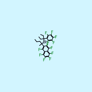 CCCC(C)(BC(CC)(CC)c1c(F)c(F)c(F)c(F)c1F)c1c(F)c(F)c2c(F)c(F)c(F)c(F)c2c1F